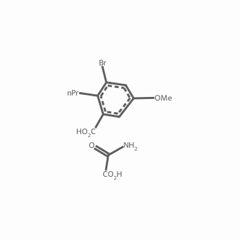 CCCc1c(Br)cc(OC)cc1C(=O)O.NC(=O)C(=O)O